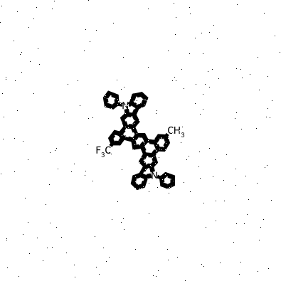 Cc1ccc2c(c1)c1cc3c(cc1c1cc4c5ccccc5n(-c5ccccc5)c4cc21)c1cc(C(F)(F)F)ccc1c1cc2c(cc31)c1ccccc1n2-c1ccccc1